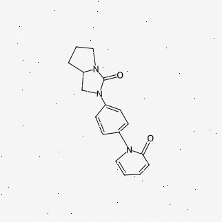 O=C1N(c2ccc(-n3ccccc3=O)cc2)CC2CCCN12